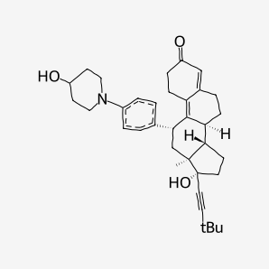 CC(C)(C)C#C[C@]1(O)CC[C@H]2[C@@H]3CCC4=CC(=O)CCC4=C3[C@@H](c3ccc(N4CCC(O)CC4)cc3)C[C@@]21C